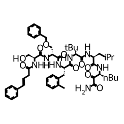 CCCC[C@H](NC(=O)[C@H](CC(C)C)NC(=O)[C@@H](NC(=O)[C@H](Cc1ccccc1C)NC(=O)[C@@H](COCc1ccccc1)NC(=O)[C@H](CO)NC(=O)C/C=C/c1ccccc1)C(C)(C)C)C(=O)C(N)=O